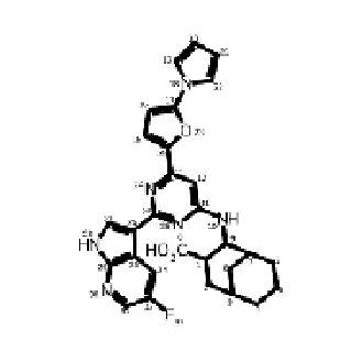 O=C(O)C1CC2CCCC(C2)C1Nc1cc(-c2ccc(-n3cccc3)o2)nc(-c2c[nH]c3ncc(F)cc23)n1